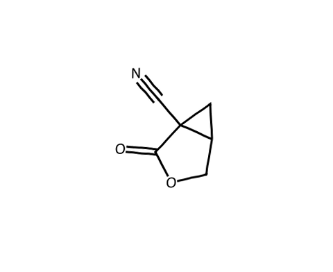 N#CC12CC1COC2=O